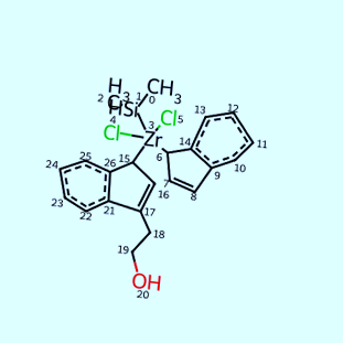 C[SiH](C)[Zr]([Cl])([Cl])([CH]1C=Cc2ccccc21)[CH]1C=C(CCO)c2ccccc21